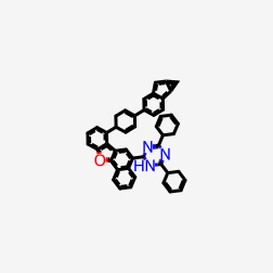 C1=CCC(C2=NC(c3cc4c(oc5cccc(C6C=CC(c7ccc8c9cc-9cc8c7)=CC6)c54)c4ccccc34)NC(C3C=CC=CC3)=N2)C=C1